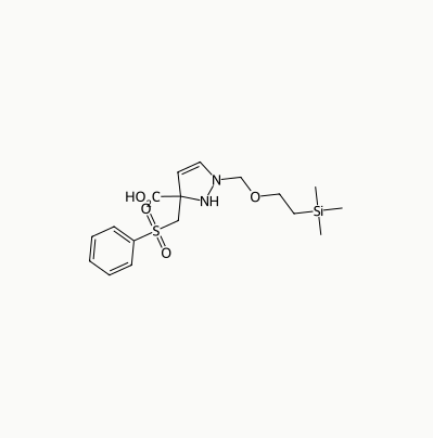 C[Si](C)(C)CCOCN1C=CC(CS(=O)(=O)c2ccccc2)(C(=O)O)N1